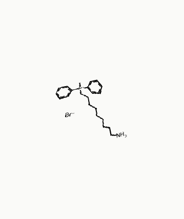 C[P+](CCCCCCCCCN)(c1ccccc1)c1ccccc1.[Br-]